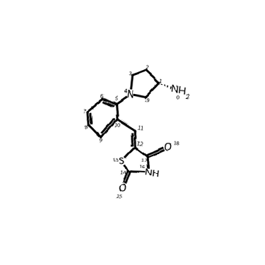 N[C@H]1CCN(c2ccccc2/C=C2\SC(=O)NC2=O)C1